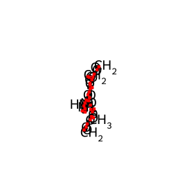 C=CC(=O)OCCCCOCC(COc1ccc(/C=C/C(=O)Oc2ccc(OC(=O)/C=C/c3ccc(OCC(COCCCCOC(=O)C=C)OC(=O)C=C)cc3)cc2/C=N/Nc2nc3ccccc3s2)cc1)OC